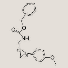 COc1ccc([C@H]2C[C@@H]2CNC(=O)OCc2ccccc2)cc1